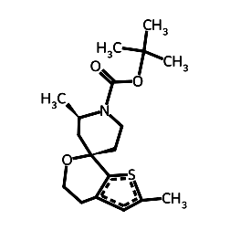 Cc1cc2c(s1)[C@]1(CCN(C(=O)OC(C)(C)C)[C@H](C)C1)OCC2